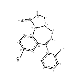 Fc1ccccc1C1=NCC2CNC(=S)N2c2ccc(Cl)cc21